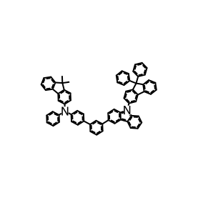 CC1(C)c2ccccc2-c2cc(N(c3ccccc3)c3ccc(-c4cccc(-c5ccc6c(c5)c5ccccc5n6-c5ccc6c(c5)-c5ccccc5C6(c5ccccc5)c5ccccc5)c4)cc3)ccc21